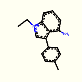 CCn1cc(-c2ccc(C)cc2)c2c(N)cccc21